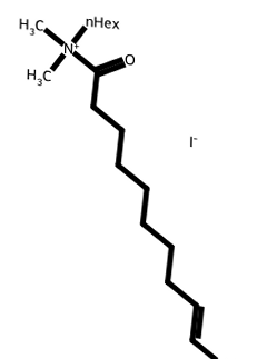 CCCCCCCCC=CCCCCCCCC(=O)[N+](C)(C)CCCCCC.[I-]